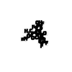 CCCOC(=O)[C@@H](C)c1c(C)n(C(=O)c2ccc(F)c(F)c2)c2cc(F)c(O)c(F)c12